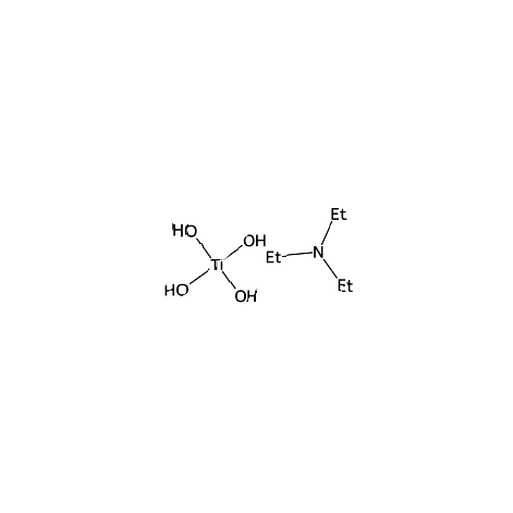 CCN(CC)CC.[OH][Ti]([OH])([OH])[OH]